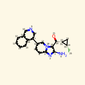 Nc1nc2ccc(-c3cncc4ccccc34)cn2c1C(=O)[C@@H]1C[C@@H]1F